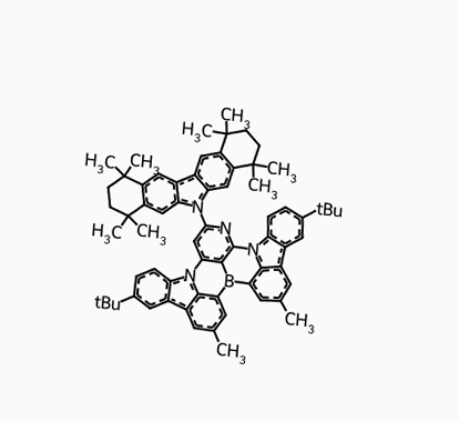 Cc1cc2c3c(c1)c1cc(C(C)(C)C)ccc1n3-c1cc(-n3c4cc5c(cc4c4cc6c(cc43)C(C)(C)CCC6(C)C)C(C)(C)CCC5(C)C)nc3c1B2c1cc(C)cc2c4cc(C(C)(C)C)ccc4n-3c12